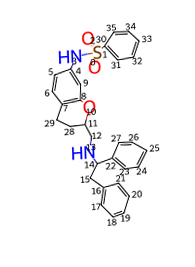 O=S(=O)(Nc1ccc2c(c1)OC(CNC(Cc1ccccc1)c1ccccc1)CC2)c1ccccc1